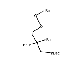 CCCCCCCCCCCC(CCCC)(CCCC)OOOCCCC